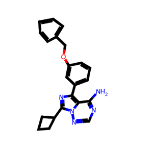 Nc1ncnn2c(C3CCC3)nc(-c3cccc(OCc4ccccc4)c3)c12